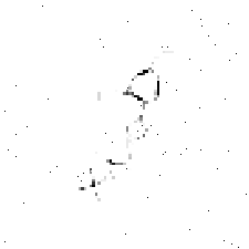 CC(C)(C)OC(=O)ON1CC(c2ccc(O)cc2O)C1